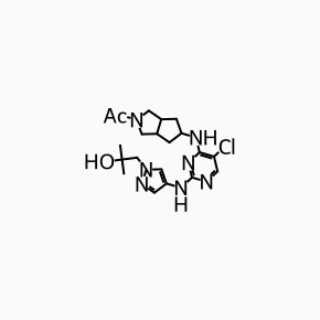 CC(=O)N1CC2CC(Nc3nc(Nc4cnn(CC(C)(C)O)c4)ncc3Cl)CC2C1